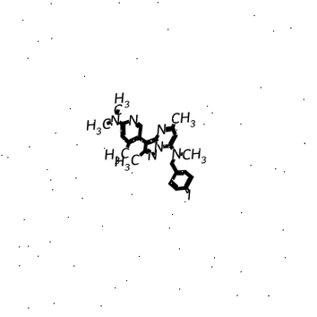 Cc1cc(N(C)Cc2ccc(I)cc2)n2nc(C)c(-c3cnc(N(C)C)cc3C)c2n1